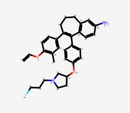 C=COc1ccc(C2=C(c3ccc(OC4CCN(CCCF)C4)cc3)c3ccc(N)cc3CCC2)cc1C